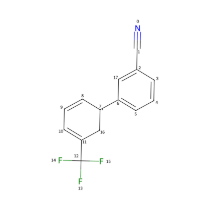 N#Cc1cccc([C]2C=CC=C(C(F)(F)F)C2)c1